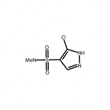 CNS(=O)(=O)c1cn[nH]c1Cl